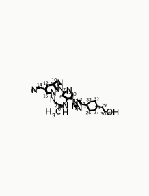 C[C@H](C#N)Nc1cc(-n2ncc3cc(C#N)cnc32)ncc1-n1cc(C2CCC(CCO)CC2)nn1